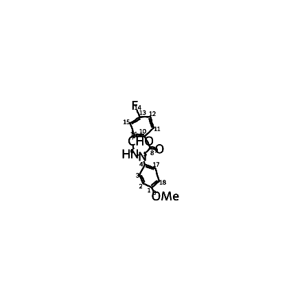 COc1ccc(N(NC=O)C(=O)c2ccc(F)cc2)cc1